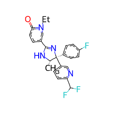 CCn1cc(C2=N[C@@](c3ccc(F)cc3)(c3ccc(C(F)F)nc3)[C@H](C)N2)ccc1=O